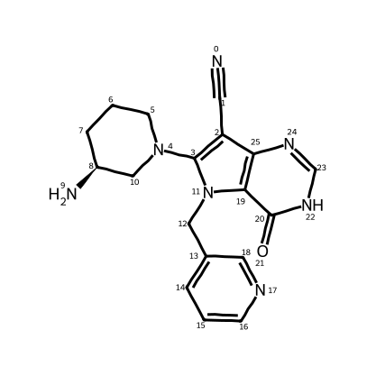 N#Cc1c(N2CCC[C@H](N)C2)n(Cc2cccnc2)c2c(=O)[nH]cnc12